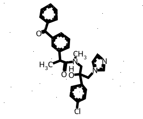 CC(C(=O)N(C)CC(O)(Cn1ccnc1)c1ccc(Cl)cc1)c1cccc(C(=O)c2ccccc2)c1